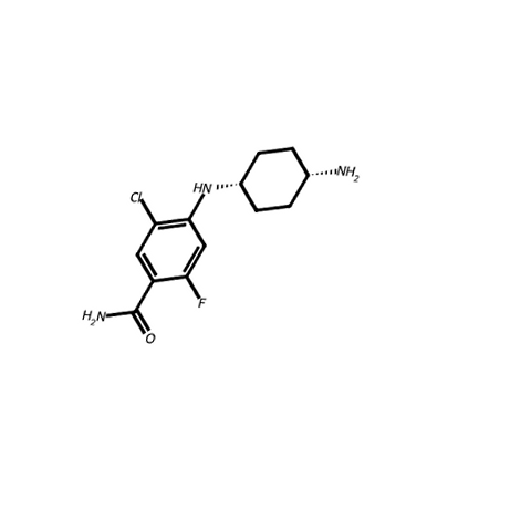 NC(=O)c1cc(Cl)c(N[C@H]2CC[C@@H](N)CC2)cc1F